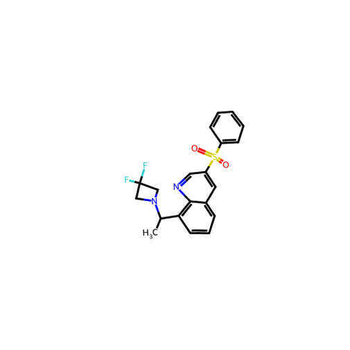 CC(c1cccc2cc(S(=O)(=O)c3ccccc3)cnc12)N1CC(F)(F)C1